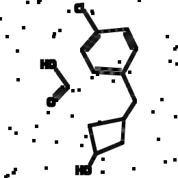 O=CO.OC1CC(Cc2ccc(Cl)cc2)C1